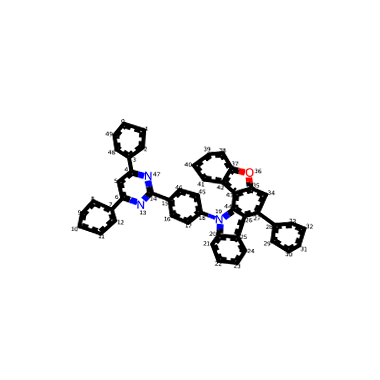 c1ccc(-c2cc(-c3ccccc3)nc(-c3ccc(-n4c5ccccc5c5c(-c6ccccc6)cc6oc7ccccc7c6c54)cc3)n2)cc1